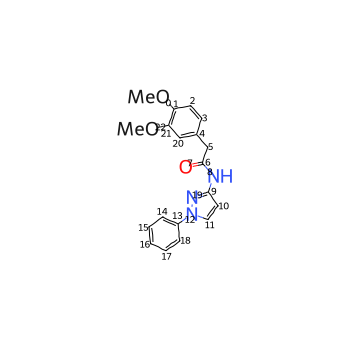 COc1ccc(CC(=O)Nc2ccn(-c3ccccc3)n2)cc1OC